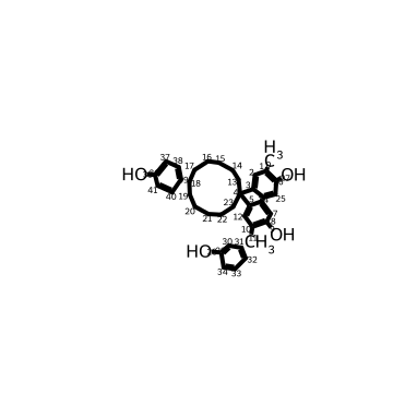 Cc1cc(C2(c3ccc(O)c(C)c3)CCCCCCCCCCC2)ccc1O.Oc1ccccc1.Oc1ccccc1